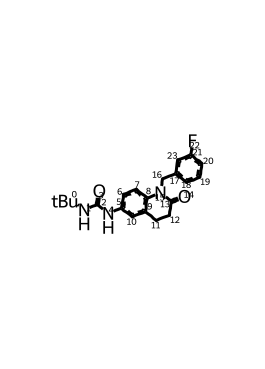 CC(C)(C)NC(=O)Nc1ccc2c(c1)CCC(=O)N2Cc1cccc(F)c1